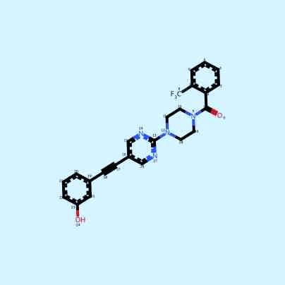 O=C(c1ccccc1C(F)(F)F)N1CCN(c2ncc(C#Cc3cccc(O)c3)cn2)CC1